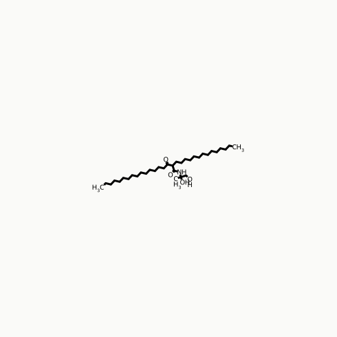 CCCCCCCCCCCCCCCC(=O)C(CCCCCCCCCCCCCC)C(=O)NC(C)(O)CO